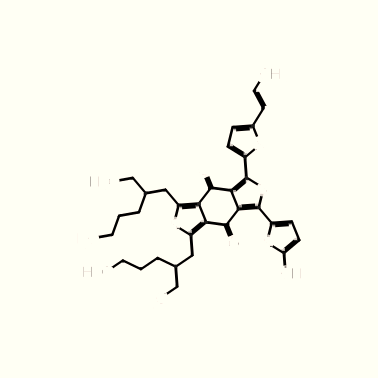 C/C=C/c1ccc(-c2sc(-c3ccc(C)s3)c3c2C(=O)c2c(CC(CC)CCCC)sc(CC(CC)CCCC)c2C3=O)s1